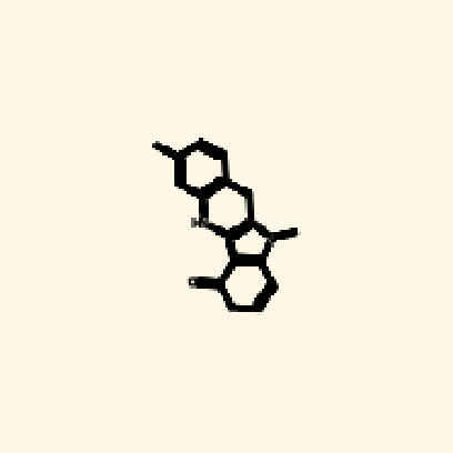 Cc1ccc2c(c1)Nc1c3c(n(C)c1C2)C=CCC3=O